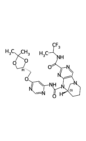 CC(NC(=O)c1ncc2c(n1)N(C(=O)Nc1cc(OC[C@@H]3COC(C)(C)O3)ncn1)[C@H]1CCCN2C1)C(F)(F)F